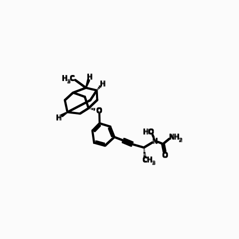 C[C@H](C#Cc1cccc(O[C@]23CC4C[C@H](C[C@H](C2)[C@H]4C)C3)c1)N(O)C(N)=O